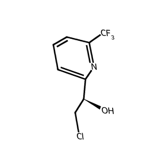 O[C@@H](CCl)c1cccc(C(F)(F)F)n1